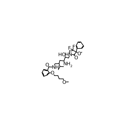 COCCCCOc1ccccc1C(=O)NCC(CC(N)C(O)CNC(=O)C(OC)(c1ccccc1)C(F)(F)F)C(C)C